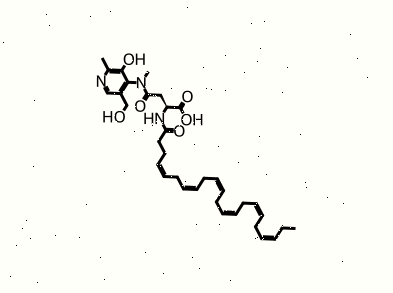 CC/C=C\C/C=C\C/C=C\C/C=C\C/C=C\C/C=C\CCC(=O)N[C@@H](CC(=O)N(C)c1c(CO)cnc(C)c1O)C(=O)O